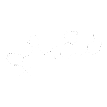 CN1CCCC(COCc2nc(Nc3cccnc3Oc3ccccc3C(C)(C)C)sc2-c2ccccc2)C1